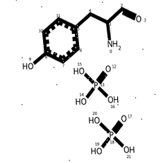 NC([C]=O)Cc1ccc(O)cc1.O=P(O)(O)O.O=P(O)(O)O